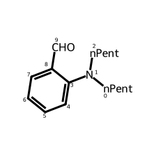 CCCCCN(CCCCC)c1ccccc1C=O